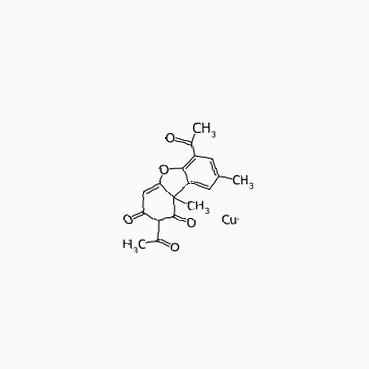 CC(=O)c1cc(C)cc2c1OC1=CC(=O)C(C(C)=O)C(=O)C12C.[Cu]